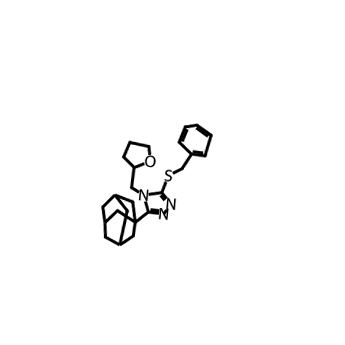 c1ccc(CSc2nnc(C34CC5CC(CC(C5)C3)C4)n2CC2CCCO2)cc1